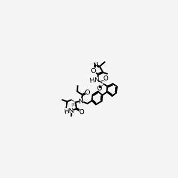 CCC(=O)N(Cc1ccc(-c2ccccc2S(=O)(=O)Nc2onc(C)c2C)cc1)[C@@H](CC(C)C)C(=O)NC